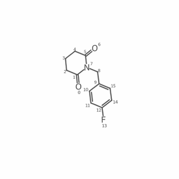 O=C1CCCC(=O)N1Cc1ccc(F)cc1